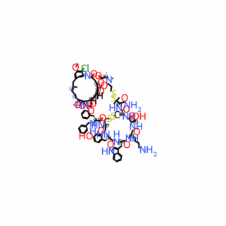 COc1cc2cc(c1Cl)N(C)C(=O)C[C@H](OC(=O)[C@H](C)N(C)C(=O)CCSSC(C)(C)[C@H](NC(=O)[C@@H]1CSSC[C@H](NC(=O)[C@@H](Cc3ccccc3)NCc3ccccc3)C(=O)N[C@@H](Cc3ccc(O)cc3)C(=O)N[C@H](Cc3c[nH]c4ccccc34)C(=O)N[C@@H](CCCCN)C(=O)NC([C@@H](C)O)C(=O)N1)C(N)=O)[C@]1(C)O[C@H]1[C@H](C)[C@@H]1C[C@@](O)(NC(=O)O1)[C@H](OC)/C=C/C=C(\C)C2